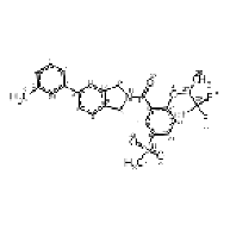 Cc1cccc(-c2ccc3c(c2)CN(C(=O)c2cc(S(C)(=O)=O)ccc2OC(C)C(F)(F)F)C3)c1